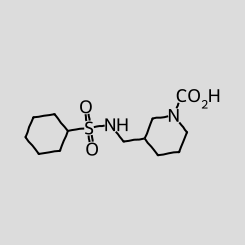 O=C(O)N1CCCC(CNS(=O)(=O)C2CCCCC2)C1